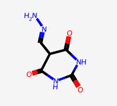 NN=CC1C(=O)NC(=O)NC1=O